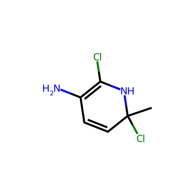 CC1(Cl)C=CC(N)=C(Cl)N1